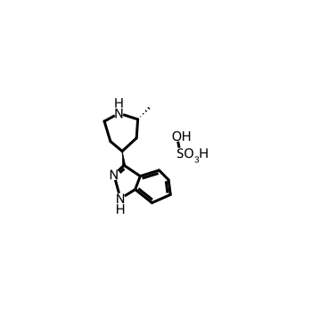 C[C@@H]1C[C@@H](c2n[nH]c3ccccc23)CCN1.O=S(=O)(O)O